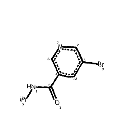 CC(C)NC(=O)c1cncc(Br)c1